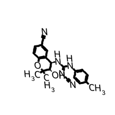 Cc1ccc(NC(=NC#N)N[C@@H]2c3cc(C#N)ccc3OC(C)(C)[C@H]2O)cc1